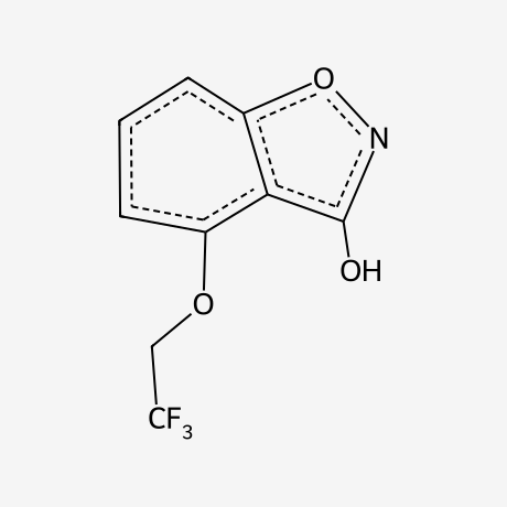 Oc1noc2cccc(OCC(F)(F)F)c12